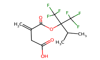 C=C(CC(=O)O)C(=O)OC(C(C)C)(C(F)(F)F)C(F)(F)F